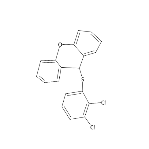 Clc1cccc(SC2c3ccccc3Oc3ccccc32)c1Cl